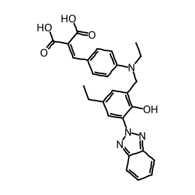 CCc1cc(CN(CC)c2ccc(C=C(C(=O)O)C(=O)O)cc2)c(O)c(-n2nc3ccccc3n2)c1